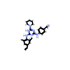 C=Cc1cc(C)c(NC2N=C(Nc3ccc(C#N)cc3)N=C(N3CCCCC3)N2)c(C)c1